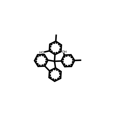 Cc1ccc(C2(c3ccc(C)cc3O)c3ccccc3-c3ccccc32)c(O)c1